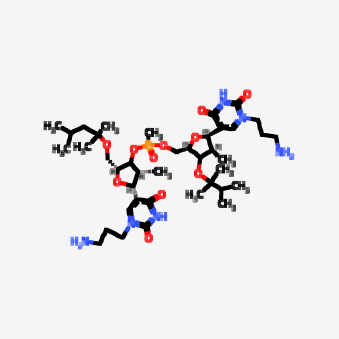 CC(C)CC(C)(C)OC[C@H]1O[C@@H](c2cn(CCCN)c(=O)[nH]c2=O)[C@@H](C)C1OP(C)(=O)OC[C@H]1O[C@@H](c2cn(CCCN)c(=O)[nH]c2=O)[C@@H](C)C1OC(C)(C)C(C)C